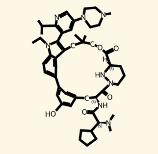 CCn1c(-c2cc(N3CCN(C)CC3)cnc2C(C)C)c2c3cc(ccc31)-c1cc(O)cc(c1)C[C@H](NC(=O)[C@H](C1CCCC1)N(C)C)C(=O)N1CCC[C@H](N1)C(=O)OCC(C)(C)C2